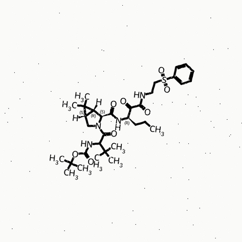 CCC[C@@H](NC(=O)[C@@H]1[C@@H]2[C@H](CN1C(=O)C(NC(=O)OC(C)(C)C)C(C)(C)C)C2(C)C)C(=O)C(=O)NCCS(=O)(=O)c1ccccc1